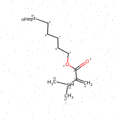 C=C(C(=O)OCCCCCCCCCCCC)[SiH](C)C